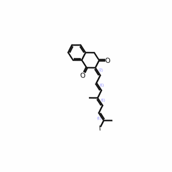 C\C(I)=C/C=C(C)/C=C/C=C1/C(=O)Cc2ccccc2C1=O